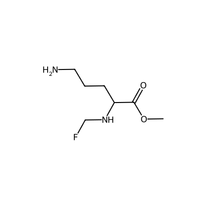 COC(=O)C(CCCN)NCF